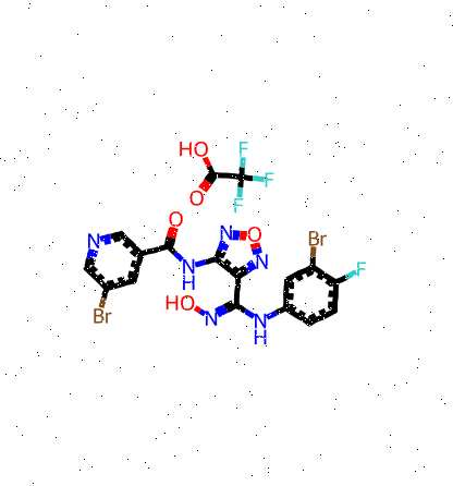 O=C(Nc1nonc1/C(=N\O)Nc1ccc(F)c(Br)c1)c1cncc(Br)c1.O=C(O)C(F)(F)F